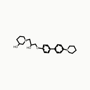 OC1CCCN(CC(O)COc2ccc(-c3ccc(N4CCCCC4)cc3)cc2)C1